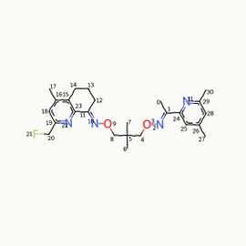 C/C(=N\OCC(C)(C)CO/N=C1\CCCc2c(C)cc(CF)nc21)c1cc(C)cc(C)n1